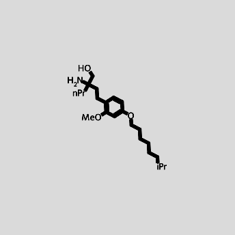 CCCC(N)(CO)CCc1ccc(OCCCCCCC(C)C)cc1OC